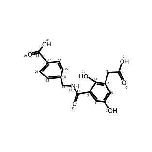 O=C(O)Cc1cc(O)cc(C(=O)NCc2ccc(C(=O)O)cc2)c1O